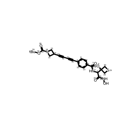 COC1(C(NC(=O)c2ccc(C#CC#CC3CN(C(=O)OC(C)(C)C)C3)cc2)C(=O)NO)CSC1